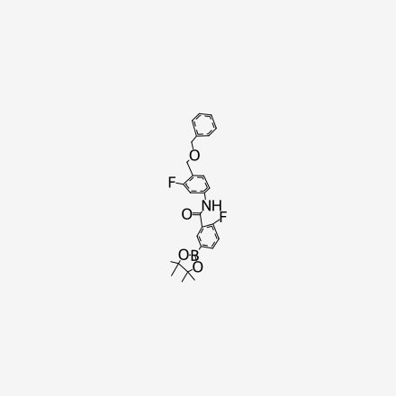 CC1(C)OB(c2ccc(F)c(C(=O)Nc3ccc(COCc4ccccc4)c(F)c3)c2)OC1(C)C